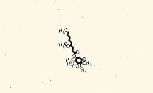 CCCCCCC(CCC(=O)OC1=CC(=O)C(C)(C)C(=O)C1(C)C)OC